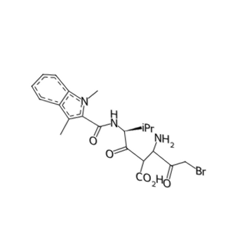 Cc1c(C(=O)N[C@H](C(=O)C(C(=O)O)C(N)C(=O)CBr)C(C)C)n(C)c2ccccc12